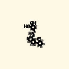 Oc1ccc(CNC=C2CN=Cc3ccc(-c4ccccc4Cl)cc32)cc1O